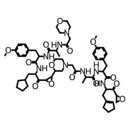 COc1ccc(CC(NC(=O)C(C)NC(=O)CN2CCOC(C3OC3C(=O)C(CC3CCCC3)NC(=O)C(Cc3ccc(OC)cc3)NC(=O)C(C)NC(=O)CN3CCOCC3)C2)C(=O)NC(CC2=CCCC2)C(=O)C2CO2)cc1